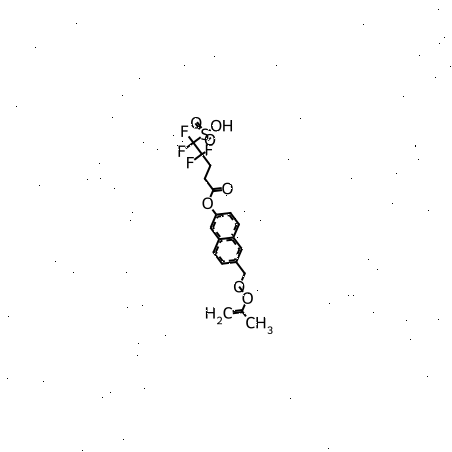 C=C(C)OOCc1ccc2cc(OC(=O)CCC(F)(F)C(F)(F)S(=O)(=O)O)ccc2c1